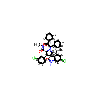 CN(C)C(=O)[C@H]1[C@H](c2cccc(Cl)c2)[C@@]2(C(=O)Nc3cc(Cl)ccc32)[C@@H](CC(C)(C)C)N1[C@H](c1ccccc1)[C@@H](O)c1ccccc1